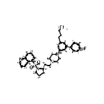 CCCCc1cc(-c2ccc(F)cc2)cc(N2CCN(CC[C@H]3CCCN3S(=O)(=O)c3cccc4ncccc34)CC2)n1